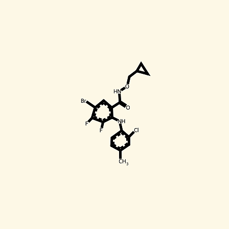 Cc1ccc(Nc2c(C(=O)NOCC3CC3)cc(Br)c(F)c2F)c(Cl)c1